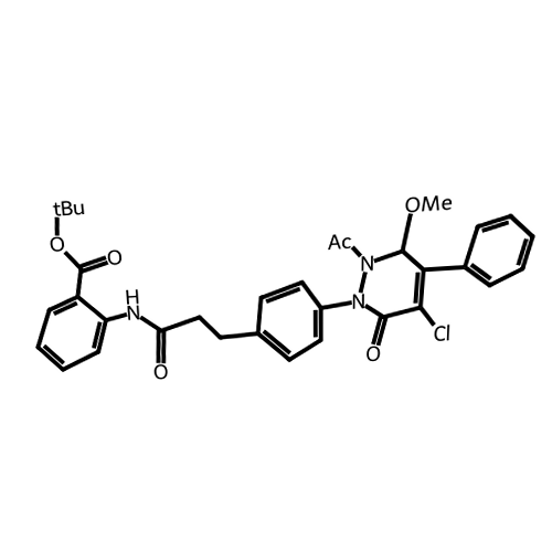 COC1C(c2ccccc2)=C(Cl)C(=O)N(c2ccc(CCC(=O)Nc3ccccc3C(=O)OC(C)(C)C)cc2)N1C(C)=O